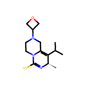 CC(C)C1=C2CN(C3COC3)CCN2C(S)=N[C@H]1C